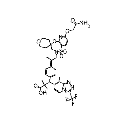 C=C(/C=C\C(C)=C(/C)CN1CC2(CCOCC2)Oc2nc(OCC(N)=O)ccc2S1(=O)=O)[C@@H](c1ccn2c(C(F)(F)F)nnc2c1C)C(C)(C)C(=O)O